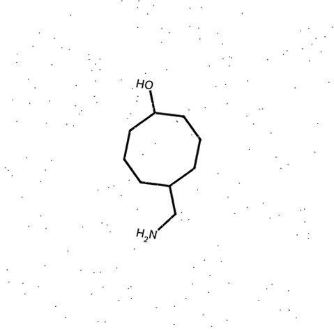 NCC1CCCC(O)CCC1